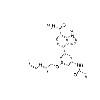 C=CC(=O)Nc1cc(OC/C(C)=N/C=C\C)cc(-c2ccc(C(N)=O)c3[nH]ccc23)c1